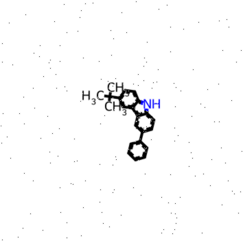 CC(C)(C)c1ccc2[nH]c3ccc(-c4ccccc4)cc3c2c1